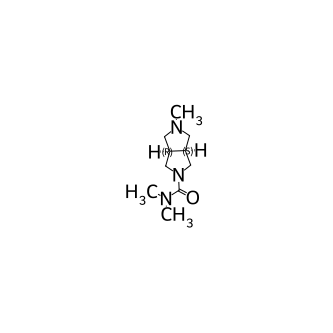 CN1C[C@@H]2CN(C(=O)N(C)C)C[C@@H]2C1